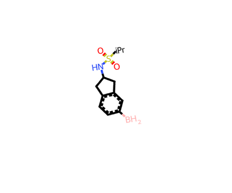 Bc1ccc2c(c1)CC(NS(=O)(=O)C(C)C)C2